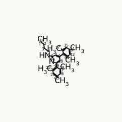 CCCCCNc1cc(-c2c(C)cc(C)cc2C)cc(-c2c(C)cc(C)cc2C)n1